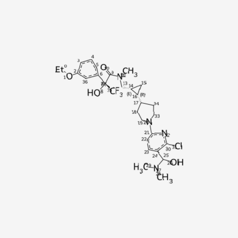 CCOc1cccc([C@@](O)(C(=O)N(C)C[C@@H]2C[C@@H]2C2CCN(c3ccc(C(O)N(C)C)c(Cl)n3)CC2)C(F)(F)F)c1